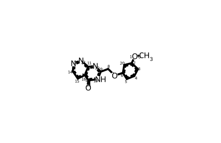 COc1cccc(OCc2nc3nnccc3c(=O)[nH]2)c1